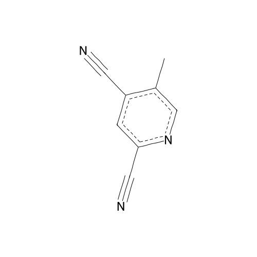 Cc1cnc(C#N)cc1C#N